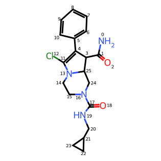 NC(=O)C1C(c2ccccc2)=C(Cl)N2CCN(C(=O)NCC3CC3)CC12